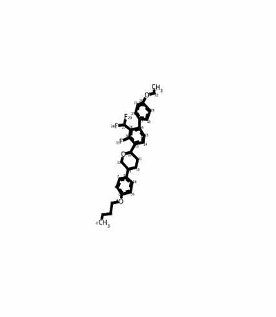 CCCCOc1ccc(C2CCC(c3ccc(-c4ccc(OCC)cc4)c(C(F)F)c3F)OC2)cc1